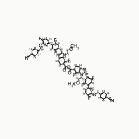 COCCn1c(Cc2cc(F)c(-c3ccc(F)c(OCc4ccc(C#N)cc4)n3)cc2F)nc2ccc(C(=O)OC(=O)c3ccc4nc(Cc5cc(F)c(-c6ccc(F)c(OCc7ccc(C#N)cc7)n6)cc5F)n(CCOC)c4c3F)c(F)c21